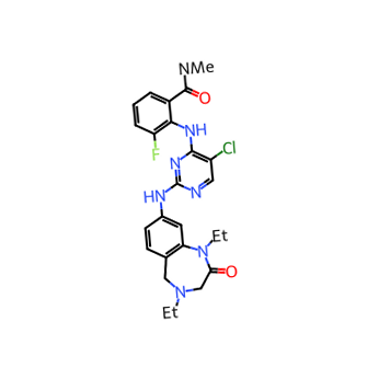 CCN1CC(=O)N(CC)c2cc(Nc3ncc(Cl)c(Nc4c(F)cccc4C(=O)NC)n3)ccc2C1